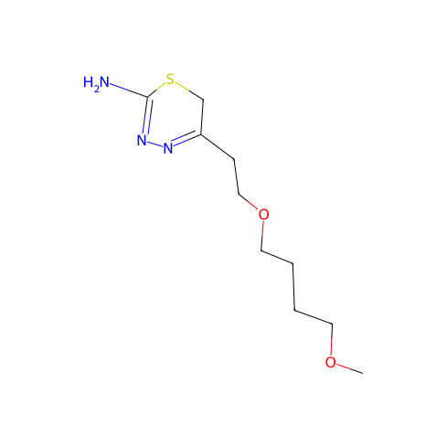 COCCCCOCCC1=NN=C(N)SC1